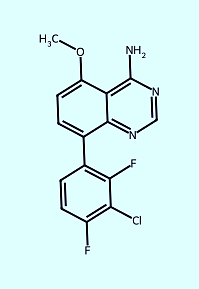 COc1ccc(-c2ccc(F)c(Cl)c2F)c2ncnc(N)c12